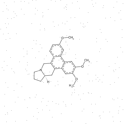 COc1ccc2c3c(c4cc(OC)c(OC)cc4c2c1)C[C@H]1CCCN1C3